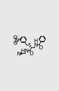 N#CCNC(=O)C(CNC(=O)c1ccccc1)SCc1cccc([N+](=O)[O-])c1